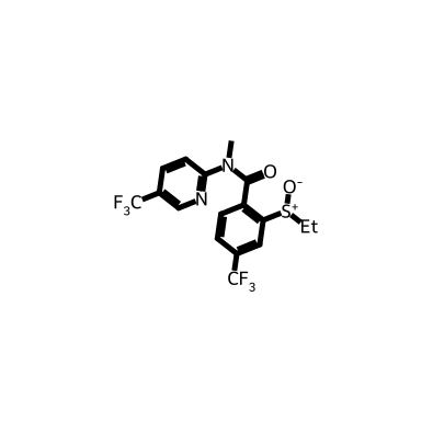 CC[S+]([O-])c1cc(C(F)(F)F)ccc1C(=O)N(C)c1ccc(C(F)(F)F)cn1